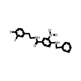 O=C(NCCc1ccc(F)c(F)c1)c1ccc(NCc2ccccc2)c([N+](=O)[O-])c1